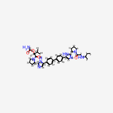 CCC(C)NCC(=O)N1CCC[C@H]1c1ncc(-c2ccc(-c3ccc(-c4cnc([C@@H]5CCCN5C(=O)[C@@](C)(OC(N)=O)C(C)C)[nH]4)cc3)cc2)[nH]1